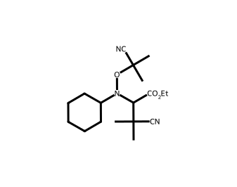 CCOC(=O)C(N(OC(C)(C)C#N)C1CCCCC1)C(C)(C)C#N